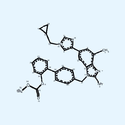 CCCc1nc2c(C)cc(-c3cn(CC4CC4)cn3)cc2n1Cc1ccc(-c2ccccc2OC(=O)OC(C)(C)C)cc1